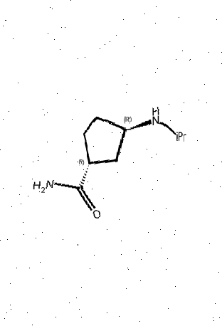 CC(C)N[C@@H]1CC[C@@H](C(N)=O)C1